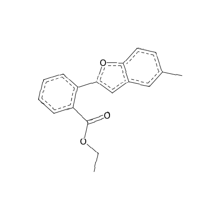 CCOC(=O)c1ccccc1-c1cc2cc(C)ccc2o1